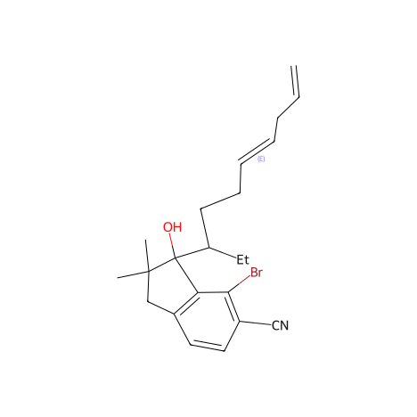 C=CC/C=C/CCC(CC)C1(O)c2c(ccc(C#N)c2Br)CC1(C)C